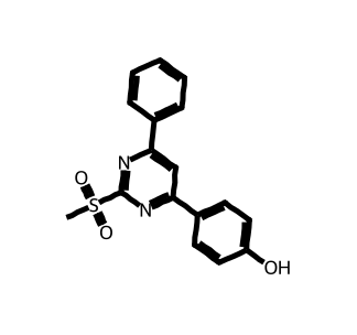 CS(=O)(=O)c1nc(-c2ccccc2)cc(-c2ccc(O)cc2)n1